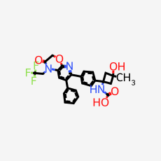 CC1(O)CC(NC(=O)O)(c2ccc(-c3nc4c(cc3-c3ccccc3)N(CC(F)(F)F)C(=O)CO4)cc2)C1